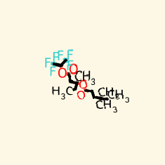 CCC(C)(C)CCC(=O)OC(C)(CC)CC(=O)OC(C(F)(F)F)C(F)(F)F